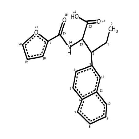 CCC(c1ccc2ccccc2c1)C(NC(=O)c1ccco1)C(=O)O